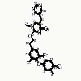 Cc1cc(Oc2c(F)cc(CCOc3nc(=O)c(Cc4cncnc4)cn3C)cc2F)ccc1Cl